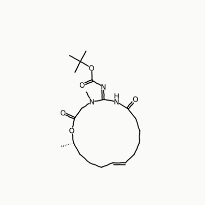 C[C@H]1CCC/C=C/CCCCC(=O)N/C(=N/C(=O)OC(C)(C)C)N(C)CC(=O)O1